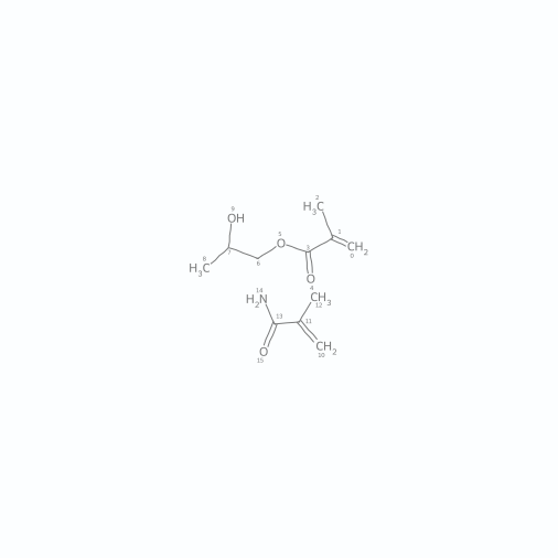 C=C(C)C(=O)OCC(C)O.C=C(C)C(N)=O